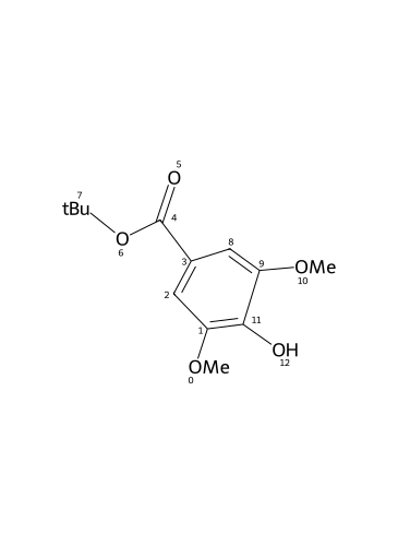 COc1cc(C(=O)OC(C)(C)C)cc(OC)c1O